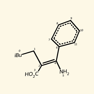 CCC(C)CC(C(=O)O)=C(N)c1ccccc1